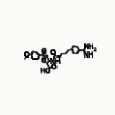 COc1ccc(S(=O)(=O)CC(CC(=O)O)NC(=O)CCCCc2ccc(C(=N)N)cc2)cc1